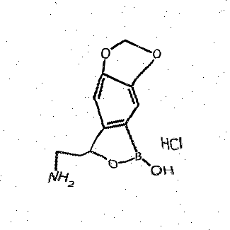 Cl.NCC1OB(O)c2cc3c(cc21)OCO3